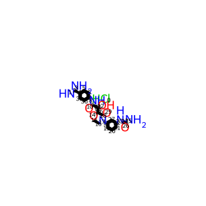 Cl.N=C(N)c1ccc(NC(=O)[C@H](O)[C@H]2OCCN(c3cccc(NC(N)=O)c3)C2=O)cc1